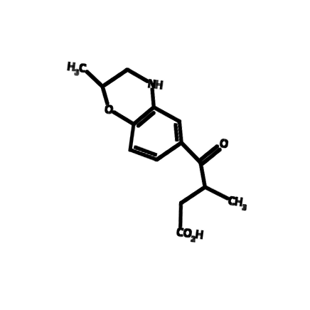 CC1CNc2cc(C(=O)C(C)CC(=O)O)ccc2O1